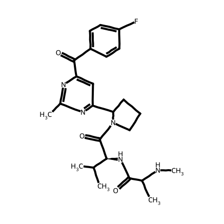 CNC(C)C(=O)N[C@H](C(=O)N1CCCC1c1cc(C(=O)c2ccc(F)cc2)nc(C)n1)C(C)C